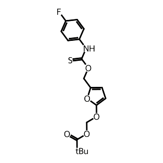 CC(C)(C)C(=O)OCOc1ccc(COC(=S)Nc2ccc(F)cc2)o1